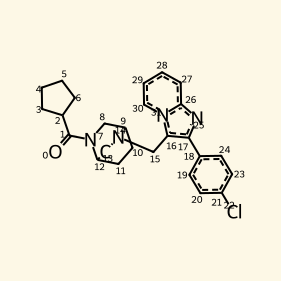 O=C(C1CCCC1)N1CC2CCC1CN2Cc1c(-c2ccc(Cl)cc2)nc2ccccn12